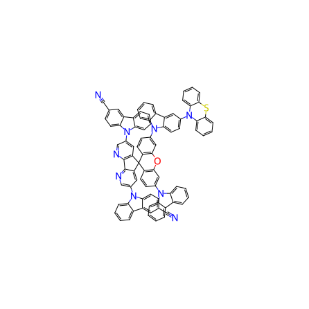 N#Cc1ccc2c(c1)c1ccccc1n2-c1cnc2c(c1)C1(c3ccc(-n4c5ccccc5c5ccccc54)cc3Oc3cc(-n4c5ccccc5c5cc(N6c7ccccc7Sc7ccccc76)ccc54)ccc31)c1cc(-n3c4ccccc4c4cc(C#N)ccc43)cnc1-2